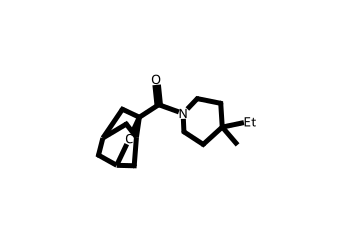 CCC1(C)CCN(C(=O)C23CC4CC(CC2C4)C3)CC1